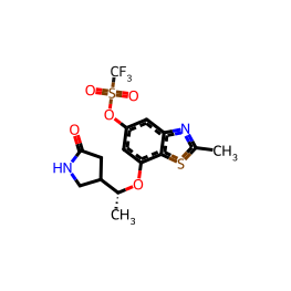 Cc1nc2cc(OS(=O)(=O)C(F)(F)F)cc(O[C@H](C)C3CNC(=O)C3)c2s1